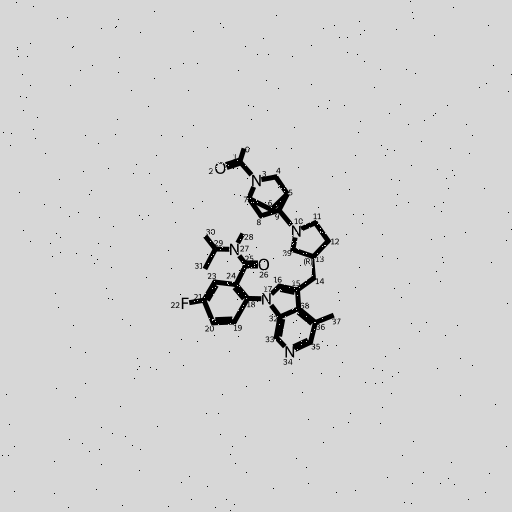 CC(=O)N1CC2CC1CC2N1CC[C@@H](Cc2cn(-c3ccc(F)cc3C(=O)N(C)C(C)C)c3cncc(C)c23)C1